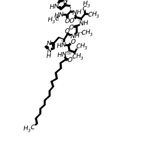 CCCCCCCCCCCCCCCC(=O)N[C@H](C(=O)N[C@@H](Cc1c[nH]cn1)C(=O)N[C@@H](C)C(=O)N[C@H](C(=O)N[C@@H](Cc1c[nH]cn1)C(=O)NC)C(C)C)C(C)C